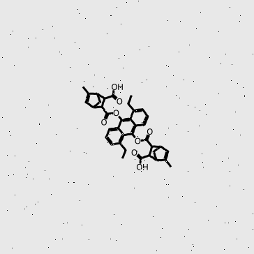 CCc1cccc2c(OC(=O)C3C4C=C(C)C(C4)C3C(=O)O)c3c(CC)cccc3c(OC(=O)C3C4C=C(C)C(C4)C3C(=O)O)c12